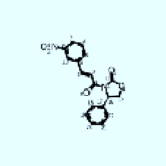 O=C(/C=C/c1cccc([N+](=O)[O-])c1)N1C(=O)OC[C@H]1c1ccccc1